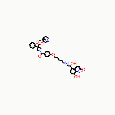 O=C(c1ccc(OCCCCCNCC(O)c2ccc(O)c3[nH]c(=O)ccc23)cc1)N1CC(C(=O)O[C@H]2CN3CCC2CC3)(c2ccccc2)C1